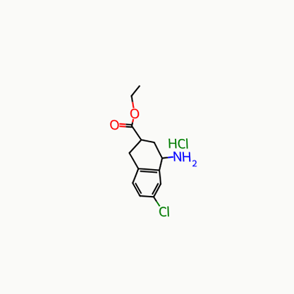 CCOC(=O)C1Cc2ccc(Cl)cc2C(N)C1.Cl